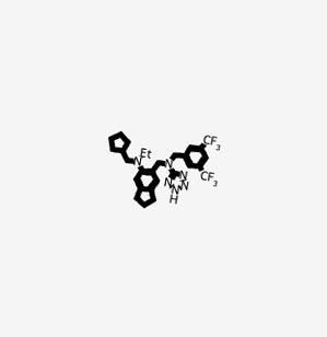 CCN(CC1CCCC1)c1cc2c(cc1CN(Cc1cc(C(F)(F)F)cc(C(F)(F)F)c1)c1nn[nH]n1)CCC2